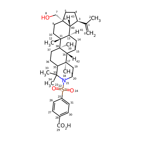 C=C(C)[C@@H]1CC[C@]2(CO)CC[C@]3(C)[C@H](CC[C@@H]4[C@@]5(C)CCN(S(=O)(=O)c6ccc(C(=O)O)cc6)C(C)(C)C5CC[C@]43C)[C@@H]12